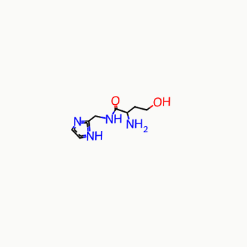 NC(CCO)C(=O)NCc1ncc[nH]1